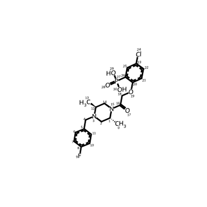 C[C@@H]1CN(Cc2ccc(F)cc2)[C@@H](C)CN1C(=O)COc1ccc(Cl)cc1P(=O)(O)O